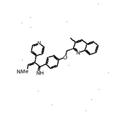 CN/C=C(\C(=N)c1ccc(OCc2nc3ccccc3cc2C)cc1)c1ccncc1